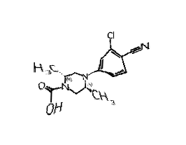 C[C@@H]1CN(c2ccc(C#N)c(Cl)c2)[C@@H](C)CN1C(=O)O